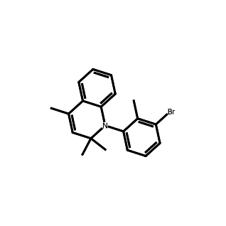 CC1=CC(C)(C)N(c2cccc(Br)c2C)c2ccccc21